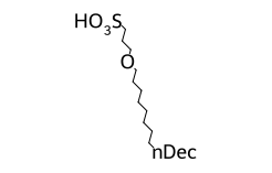 CCCCCCCCCCCCCCCCCCOCCCS(=O)(=O)O